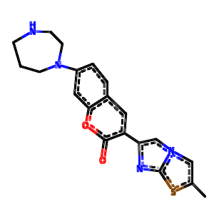 Cc1cn2cc(-c3cc4ccc(N5CCCNCC5)cc4oc3=O)nc2s1